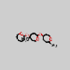 BC1(OC2CCCCCO2)CCOC(OC2CCOC(C(C)(C)C)CC2)CC1